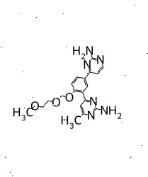 COCCOCOc1ccc(-c2ccnc(N)n2)cc1-c1cc(C)nc(N)n1